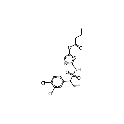 C=CC(c1ccc(Cl)c(Cl)c1)S(=O)(=O)Nc1ncc(OC(=O)CCC)s1